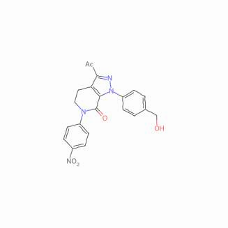 CC(=O)c1nn(-c2ccc(CO)cc2)c2c1CCN(c1ccc([N+](=O)[O-])cc1)C2=O